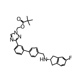 CC(C)(C)C(=O)OCn1cnc(-c2cccc(-c3ccc(CN[C@@H]4Cc5ccc(F)cc5C4)cc3)c2)n1